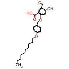 CCCCCCCCCCOc1ccc(COc2cc(O)c(C=O)cc2C(=O)O)cc1